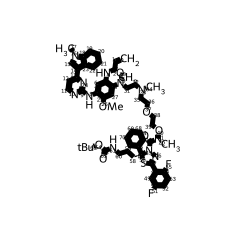 C=CC(=O)Nc1cc(Nc2nccc(-c3cn(C)c4ccccc34)n2)c(OC)cc1N(C)CCN(C)CCOCCON(C)C(=O)N1N=C(c2cc(F)ccc2F)S[C@@]1(CCCNC(=O)OC(C)(C)C)c1ccccc1